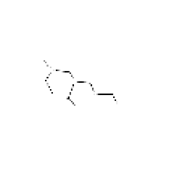 CCN(CC(=O)O)CN(CNCC(=O)O)CC(=O)O